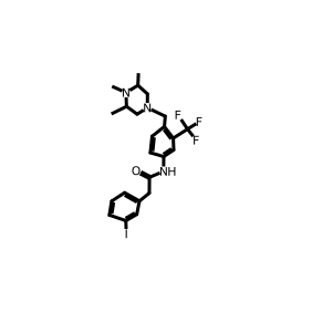 CC1CN(Cc2ccc(NC(=O)Cc3cccc(I)c3)cc2C(F)(F)F)CC(C)N1C